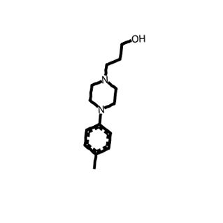 Cc1ccc(N2CCN(CCCO)CC2)cc1